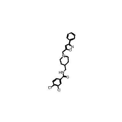 O=C(NCC1CCN(Cc2cc(-c3ccccc3)no2)CC1)c1ccc(Cl)c(Cl)c1